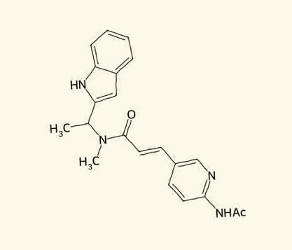 CC(=O)Nc1ccc(C=CC(=O)N(C)C(C)c2cc3ccccc3[nH]2)cn1